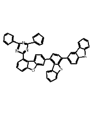 c1ccc(-c2nc(-c3ccccc3)nc(-c3cccc4oc5cc(-c6ccc(-c7ccc8sc9ccccc9c8c7)c7sc8ccccc8c67)ccc5c34)n2)cc1